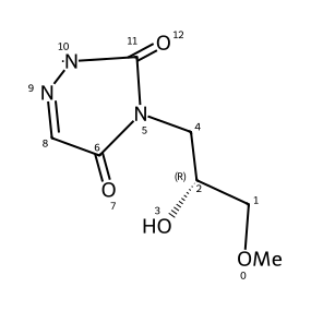 COC[C@H](O)CN1C(=O)C=N[N]C1=O